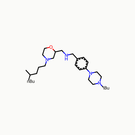 CCCCC(C)CCCN1CCOC(CNCc2ccc(N3CCN(C(C)CC)CC3)cc2)C1